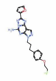 Nc1nc2c(cnn2CCCc2ccc(OCC[18F])cc2)c2nc(-c3ccco3)nn12